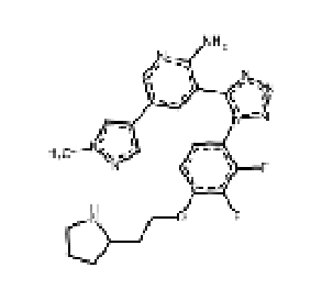 Cn1cc(-c2cnc(N)c(-c3nnnn3-c3ccc(OCCC4CCCN4)c(F)c3F)c2)cn1